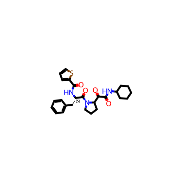 O=C(NC1CCCCC1)C(=O)C1CCCN1C(=O)[C@H](Cc1ccccc1)NC(=O)c1cccs1